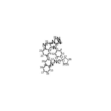 N#CC1(c2ccc(-n3c4c5cc(-c6cnc7ccccc7c6)ccc5ncc4n4cnnc34)cc2)CCCC1